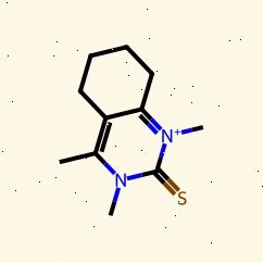 Cc1c2c([n+](C)c(=S)n1C)CCCC2